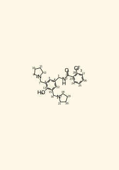 O=C(NCc1cc(CN2CCCC2)c(O)c(CN2CCCC2)c1)c1ccccc1C(F)(F)F